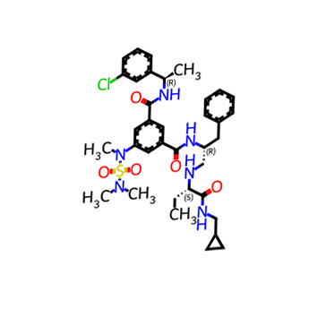 CC[C@H](NC[C@@H](Cc1ccccc1)NC(=O)c1cc(C(=O)N[C@H](C)c2cccc(Cl)c2)cc(N(C)S(=O)(=O)N(C)C)c1)C(=O)NCC1CC1